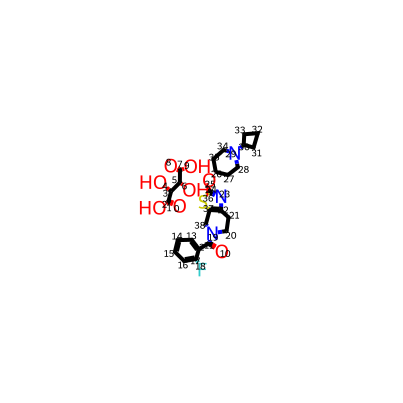 O=C(O)C(O)C(O)C(=O)O.O=C(c1ccccc1F)N1CCc2nc(OC3CCN(C4CCC4)CC3)sc2C1